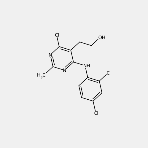 Cc1nc(Cl)c(CCO)c(Nc2ccc(Cl)cc2Cl)n1